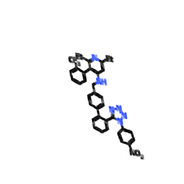 CCc1cc(NCc2ccc(-c3ccccc3-c3nnnn3-c3ccc([N+](=O)[O-])cc3)cc2)c(-c2ccccc2C(F)(F)F)c(CC)n1